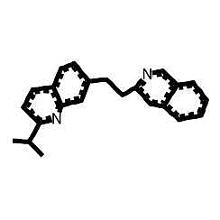 CC(C)c1ccc2ccc(CCc3cc4ccccc4cn3)cc2n1